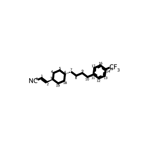 N#CC=C[C@H]1CC[C@H](CCCCc2ccc(C(F)(F)F)cc2)CC1